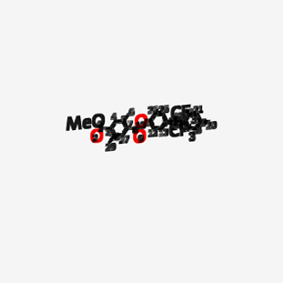 COC(=O)c1cc(C)c(C(=O)Oc2ccc(C(c3ccc(C)cc3)(C(F)(F)F)C(F)(F)F)cc2)cc1C